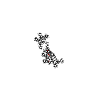 CC1O[C@@H](O[C@H]2C(OC(=O)c3ccccc3)[C@H](OC(=O)c3ccccc3)C(COC(=O)c3ccccc3)O[C@H]2O[C@H]2CC[C@@]3(C)C(=CC[C@H]4[C@@H]5CC(=O)[C@H]([C@H](C)C(=O)CC[C@@H](C)CO[C@@H]6OC(COC(=O)c7ccccc7)[C@@H](OC(=O)c7ccccc7)C(OC(=O)c7ccccc7)[C@@H]6OC(=O)c6ccccc6)[C@@]5(C)CC[C@@H]43)C2)[C@@H](OC(=O)c2ccccc2)C(OC(=O)c2ccccc2)[C@H]1OC(=O)c1ccccc1